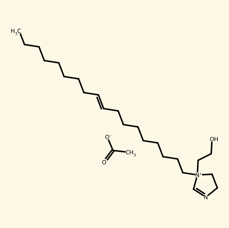 CC(=O)[O-].CCCCCCCCC=CCCCCCCCC[N+]1(CCO)C=NCC1